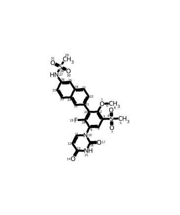 COc1c(S(C)(=O)=O)cc(-n2ccc(=O)[nH]c2=O)c(F)c1-c1ccc2cc(NS(C)(=O)=O)ccc2c1